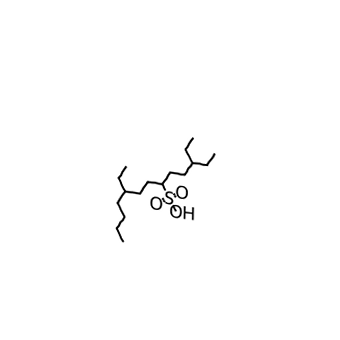 CCCCC(CC)CCC(CCC(CC)CC)S(=O)(=O)O